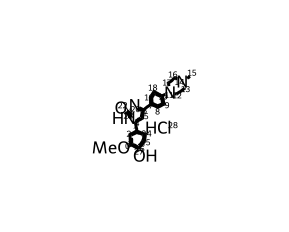 COc1cc(-c2cc(-c3ccc(N4CCN(C)CC4)cc3)nc(=O)[nH]2)ccc1O.Cl